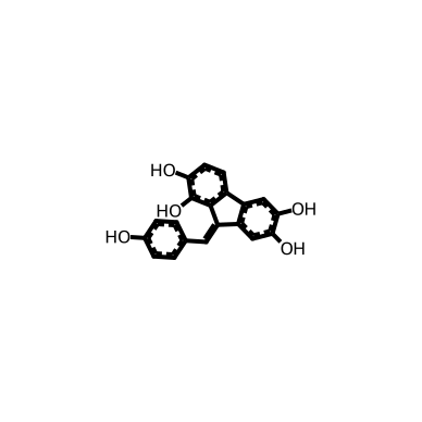 Oc1ccc(C=C2c3cc(O)c(O)cc3-c3ccc(O)c(O)c32)cc1